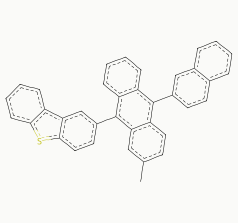 Cc1ccc2c(-c3ccc4ccccc4c3)c3ccccc3c(-c3ccc4sc5ccccc5c4c3)c2c1